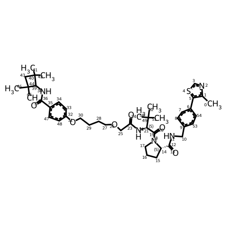 Cc1ncsc1-c1ccc(CNC(=O)[C@@H]2CCCN2C(=O)[C@@H](NC(=O)COCCCCOc2ccc(C(=O)NC3C(C)(C)CC3(C)C)cc2)C(C)(C)C)cc1